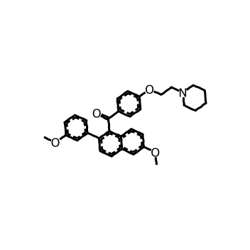 COc1cccc(-c2ccc3cc(OC)ccc3c2C(=O)c2ccc(OCCN3CCCCC3)cc2)c1